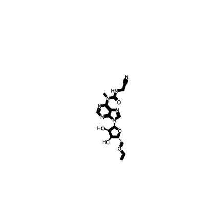 CCOC[C@H]1O[C@@H](n2cnc3c(N(C)C(=O)NCC#N)ncnc32)[C@H](O)[C@@H]1O